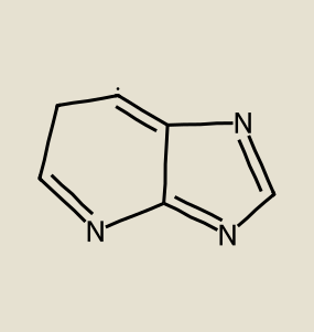 [C]1=C2N=CN=C2N=CC1